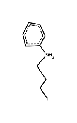 ICCC[SiH2]c1ccccc1